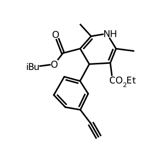 C#Cc1cccc(C2C(C(=O)OCC)=C(C)NC(C)=C2C(=O)OC(C)CC)c1